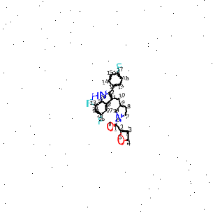 O=C(C1CCO1)N1CCC(Cc2c(-c3ccc(F)cc3)[nH]c3c(F)cc(F)cc23)C1